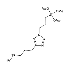 CCCNCCCc1ncn(CCC[Si](OC)(OC)OC)n1